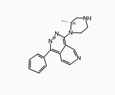 C[C@@H]1CNCCN1c1nnc(-c2ccccc2)c2ccncc12